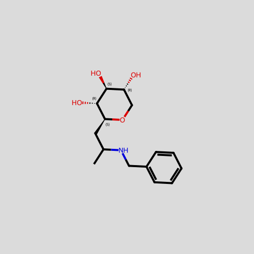 CC(C[C@@H]1OC[C@@H](O)[C@H](O)[C@H]1O)NCc1ccccc1